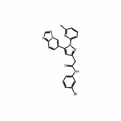 Cc1cccc(-n2nc(CC(=O)Nc3cccc(Br)c3)cc2-c2ccc3ncnn3c2)n1